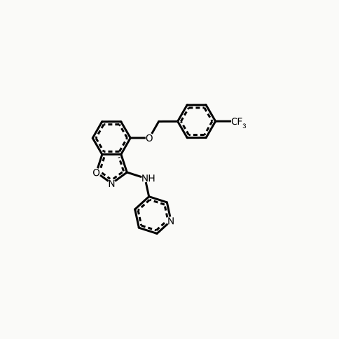 FC(F)(F)c1ccc(COc2cccc3onc(Nc4cccnc4)c23)cc1